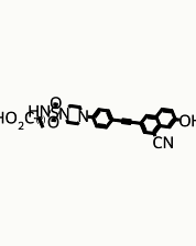 C[C@@H](NS(=O)(=O)N1CCN(c2ccc(C#Cc3cc(C#N)c4cc(O)ccc4c3)cc2)CC1)C(=O)O